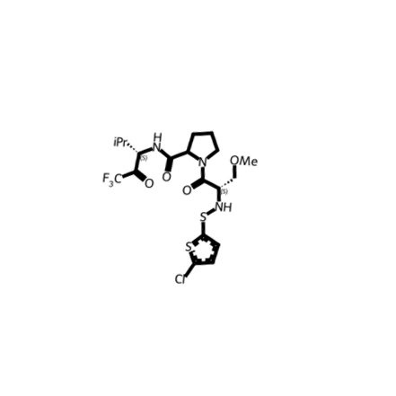 COC[C@H](NSc1ccc(Cl)s1)C(=O)N1CCCC1C(=O)N[C@H](C(=O)C(F)(F)F)C(C)C